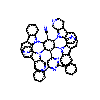 N#Cc1c(-n2c3ccccc3c3ccncc32)c(-n2c3ccccc3c3ccncc32)c(-c2cc(-c3ccccc3)nc(-c3ccccc3)n2)c(-n2c3ccccc3c3ccncc32)c1-n1c2ccccc2c2ccncc21